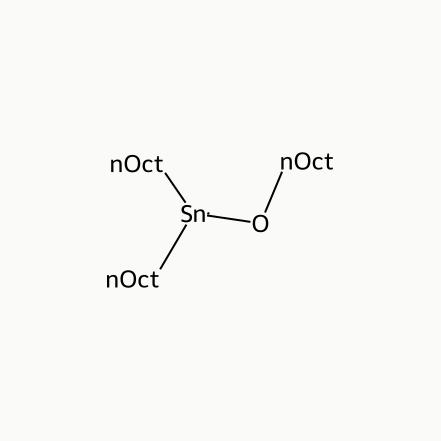 CCCCCCCC[O][Sn]([CH2]CCCCCCC)[CH2]CCCCCCC